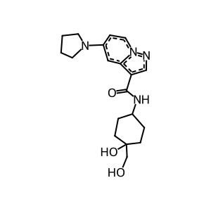 O=C(NC1CCC(O)(CO)CC1)c1cnn2ccc(N3CCCC3)cc12